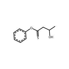 CC(O)CC(=S)Oc1ccccc1